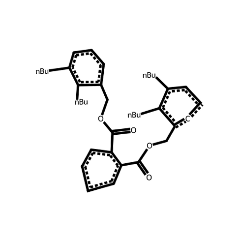 CCCCc1cccc(COC(=O)c2ccccc2C(=O)OCc2cccc(CCCC)c2CCCC)c1CCCC